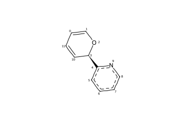 C1=CO[C@@H](c2ccccn2)C=C1